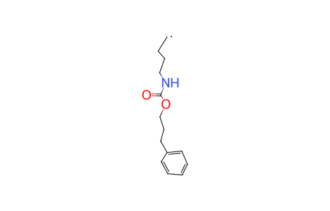 [CH2]CCCNC(=O)OCCCc1ccccc1